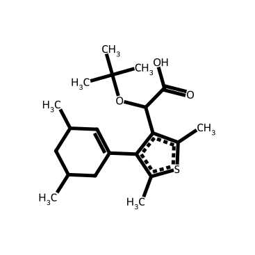 Cc1sc(C)c(C(OC(C)(C)C)C(=O)O)c1C1=CC(C)CC(C)C1